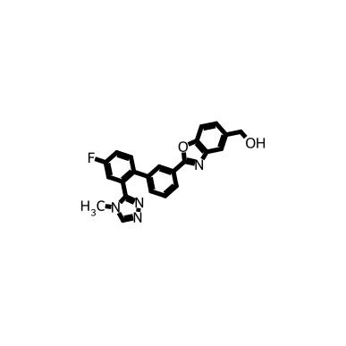 Cn1cnnc1-c1cc(F)ccc1-c1cccc(-c2nc3cc(CO)ccc3o2)c1